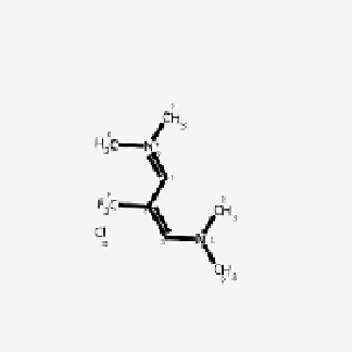 CN(C)C=C(C=[N+](C)C)C(F)(F)F.[Cl-]